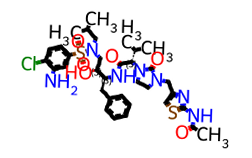 CC(=O)Nc1nc(CN2CCN([C@H](C(=O)N[C@@H](Cc3ccccc3)[C@@H](O)CN(CC(C)C)S(=O)(=O)c3ccc(Cl)c(N)c3)C(C)C)C2=O)cs1